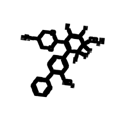 CCCC1COC(C2=C(c3ccc(-c4ccccc4)c([N+](=O)[O-])c3)C(F)(F)C(F)(C(=O)O)C(F)=C2F)OC1